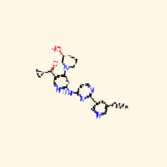 COc1cncc(-c2nccc(Nc3cc(N4CCC[C@H](O)C4)c(C(=O)C4CC4)cn3)n2)c1